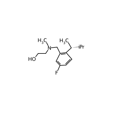 CC(C)[C@@H](C)c1ccc(F)cc1CN(C)CCO